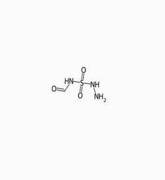 NNS(=O)(=O)NC=O